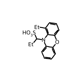 CCc1cccc2c1N(C(CC)S(=O)(=O)O)c1ccccc1O2